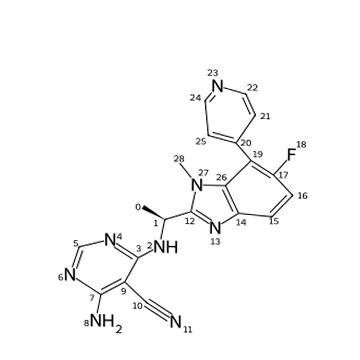 C[C@H](Nc1ncnc(N)c1C#N)c1nc2ccc(F)c(-c3ccncc3)c2n1C